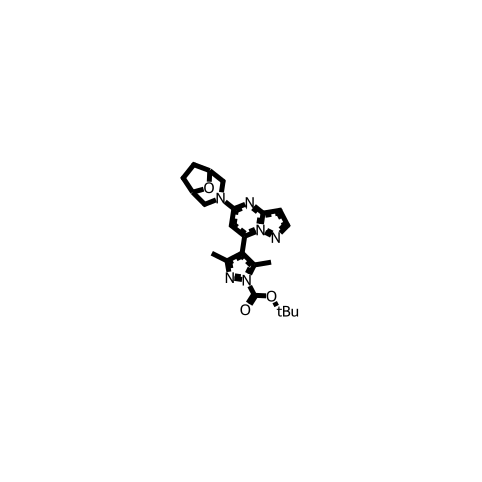 Cc1nn(C(=O)OC(C)(C)C)c(C)c1-c1cc(N2CC3CCC(C2)O3)nc2ccnn12